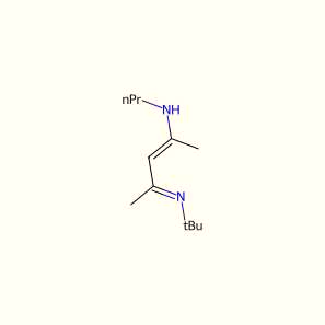 CCCNC(C)=CC(C)=NC(C)(C)C